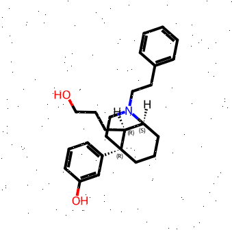 OCCC[C@H]1[C@@H]2CCC[C@@]1(c1cccc(O)c1)CCN2CCc1ccccc1